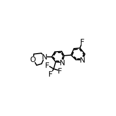 Fc1cncc(-c2ccc(N3CCOCC3)c(C(F)(F)F)n2)c1